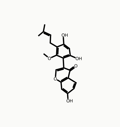 COc1c(CC=C(C)C)c(O)cc(O)c1-c1coc2cc(O)ccc2c1=O